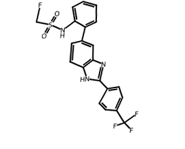 O=S(=O)(CF)Nc1ccccc1-c1ccc2[nH]c(-c3ccc(C(F)(F)F)cc3)nc2c1